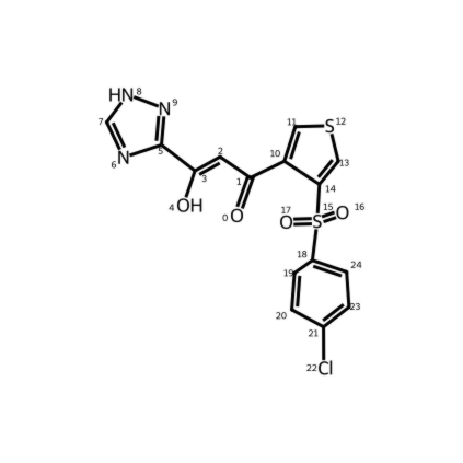 O=C(C=C(O)c1nc[nH]n1)c1cscc1S(=O)(=O)c1ccc(Cl)cc1